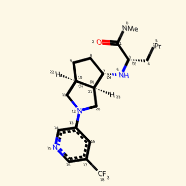 CNC(=O)[C@H](CC(C)C)N[C@H]1CC[C@@H]2CN(c3cncc(C(F)(F)F)c3)C[C@@H]21